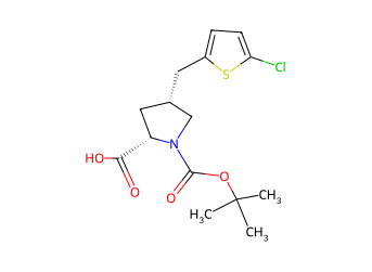 CC(C)(C)OC(=O)N1C[C@@H](Cc2ccc(Cl)s2)C[C@H]1C(=O)O